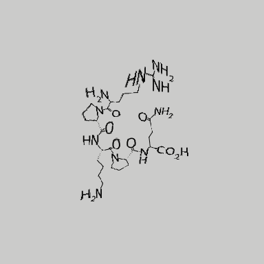 N=C(N)NCCC[C@H](N)C(=O)N1CCC[C@H]1C(=O)N[C@@H](CCCCN)C(=O)N1CCC[C@H]1C(=O)N[C@@H](CCC(N)=O)C(=O)O